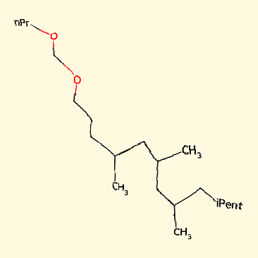 CCCOCOCCCC(C)CC(C)CC(C)CC(C)CCC